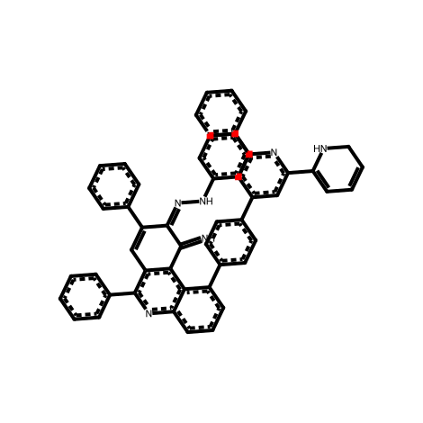 N=C1/C(=N\Nc2ccccc2)C(c2ccccc2)=Cc2c(-c3ccccc3)nc3cccc(-c4ccc(-c5cc(C6=CC=CCN6)nc(-c6ccccn6)c5)cc4)c3c21